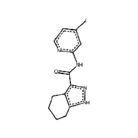 O=C(Nc1cc(I)ccn1)c1n[nH]c2c1CCCC2